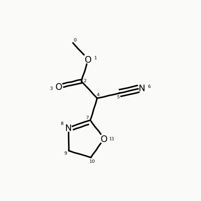 COC(=O)C(C#N)C1=NCCO1